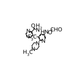 CN1CCN(c2ncc(NOC=O)cc2C(F)(F)F)CC1.NC(=O)c1ccccn1